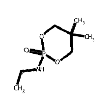 CCNP1(=O)OCC(C)(C)CO1